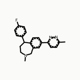 Cc1ccc(-c2ccc3c(c2)CN(C)CCC3c2ccc(F)cc2)nn1